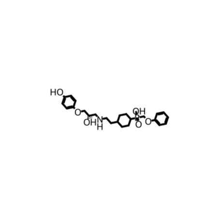 O=P(O)(COc1ccccc1)C1CCC(CCNC[C@H](O)COc2ccc(O)cc2)CC1